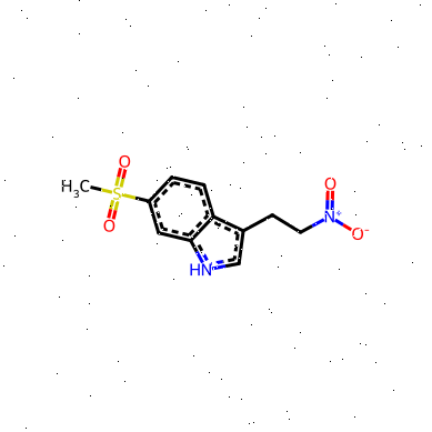 CS(=O)(=O)c1ccc2c(CC[N+](=O)[O-])c[nH]c2c1